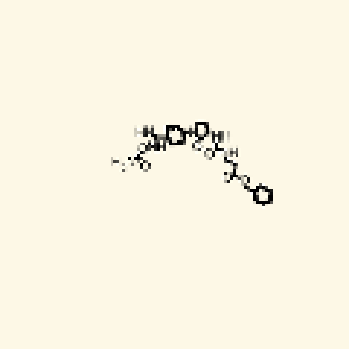 N=C(NOC(N)=O)c1ccc(N2CC[C@H](NC(=O)NCCC(=O)OCc3ccccc3)C2=O)cc1